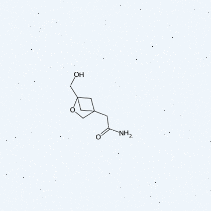 NC(=O)CC12COC(CO)(C1)C2